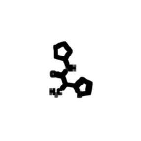 CC(C(=O)NC1CCCC1)c1cccs1